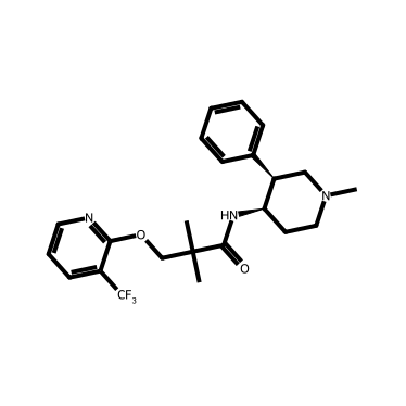 CN1CC[C@@H](NC(=O)C(C)(C)COc2ncccc2C(F)(F)F)[C@@H](c2ccccc2)C1